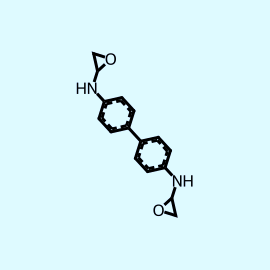 c1cc(-c2ccc(NC3CO3)cc2)ccc1NC1CO1